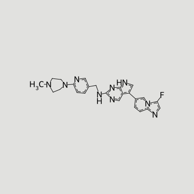 CN1CCN(c2ccc(CNc3ncc4c(-c5ccc6ncc(F)n6c5)c[nH]c4n3)cn2)CC1